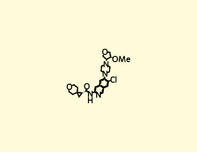 CO[C@H]1COC[C@H]1N1CCN(c2cc3cc(NC(=O)[C@@H]4CC45CCOCC5)ncc3cc2Cl)CC1